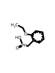 CCOc1ccccc1C[PH](=O)O